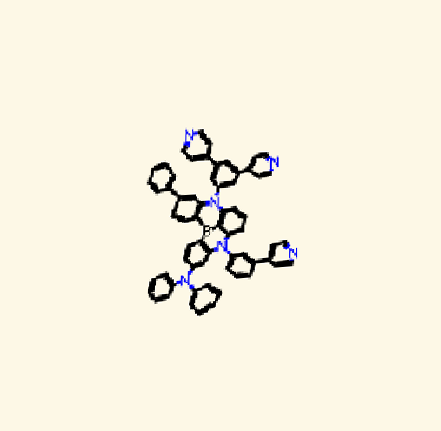 c1ccc(-c2ccc3c(c2)N(c2cc(-c4ccncc4)cc(-c4ccncc4)c2)c2cccc4c2B3c2ccc(N(c3ccccc3)c3ccccc3)cc2N4c2cccc(-c3ccncc3)c2)cc1